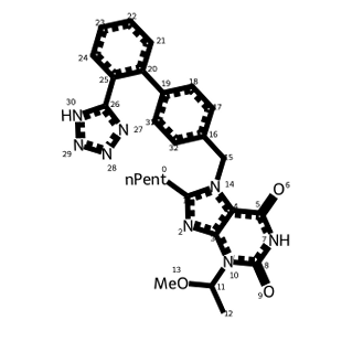 CCCCCc1nc2c(c(=O)[nH]c(=O)n2C(C)OC)n1Cc1ccc(-c2ccccc2-c2nnn[nH]2)cc1